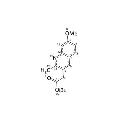 COc1ccc2cc(CC(=O)OCC(C)C)c(C)nc2c1